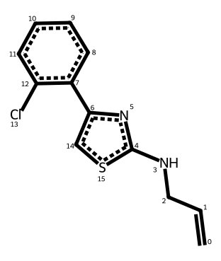 C=CCNc1nc(-c2ccccc2Cl)cs1